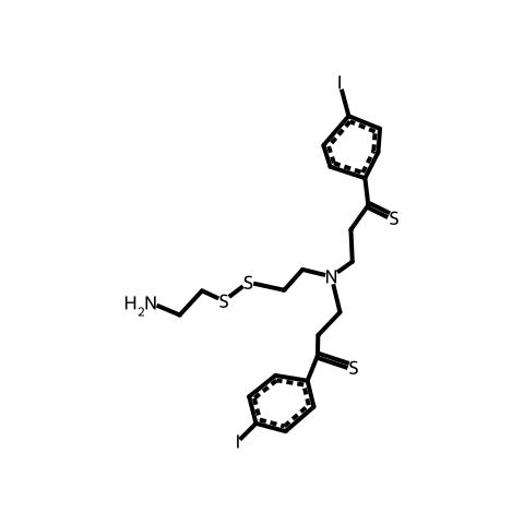 NCCSSCCN(CCC(=S)c1ccc(I)cc1)CCC(=S)c1ccc(I)cc1